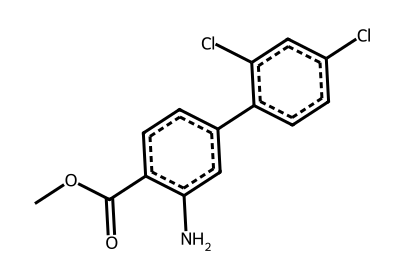 COC(=O)c1ccc(-c2ccc(Cl)cc2Cl)cc1N